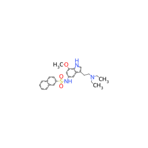 CCN(CC)CCc1c[nH]c2c(OC)cc(NS(=O)(=O)c3ccc4ccccc4c3)cc12